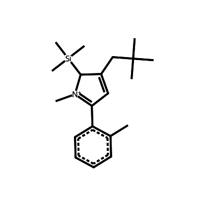 Cc1ccccc1C1=[N+](C)C([Si](C)(C)C)C(CC(C)(C)C)=C1